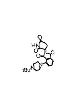 CC(C)(C)N1CCN(c2cccc3c2C(=O)N(C2CCC(=O)NC2=O)C3=O)CC1